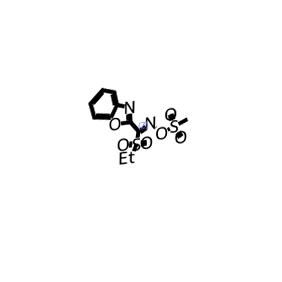 CCS(=O)(=O)/C(=N\OS(C)(=O)=O)c1nc2ccccc2o1